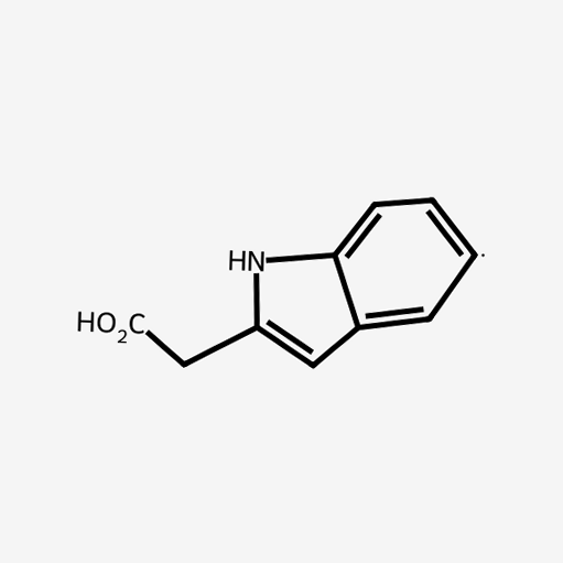 O=C(O)Cc1cc2c[c]ccc2[nH]1